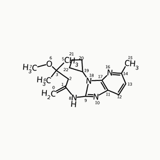 C=C(CC(C)(C)OC)Nc1nc2ccc(C)nc2n1C1CCC1